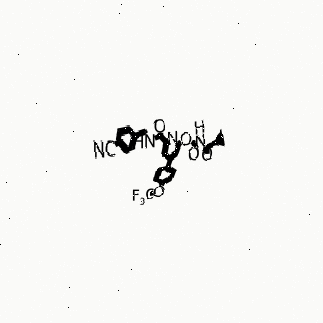 N#Cc1ccc(CNC(=O)c2cc(-c3ccc(OC(F)(F)F)cc3)cc(OC(=O)NC(=O)C3CC3)n2)cc1